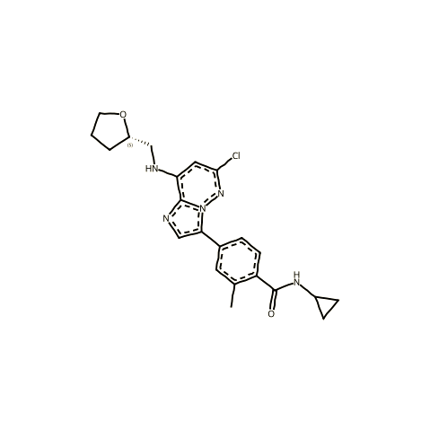 Cc1cc(-c2cnc3c(NC[C@@H]4CCCO4)cc(Cl)nn23)ccc1C(=O)NC1CC1